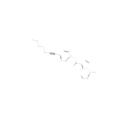 CCCCCC#Cc1ccc(NC(=O)c2ccn3c(C)cc(C)nc23)cc1